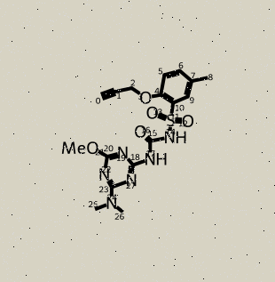 C#CCOc1ccc(C)cc1S(=O)(=O)NC(=O)Nc1nc(OC)nc(N(C)C)n1